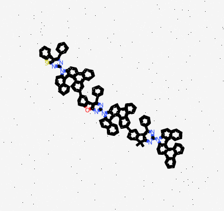 CC1(C)c2ccc(-c3ccc4c(c3)c3ccccc3c3ccc5c(c34)c3c4ccccc4ccc3n5-c3nc(-c4ccccc4)c4c(n3)oc3ccc(-c5ccc6c(c5)c5ccccc5c5ccc7c(c56)c5c6ccccc6ccc5n7-c5nc(-c6ccccc6)c6c(n5)sc5ccccc56)cc34)cc2-c2c(-c3ccccc3)nc(-n3c4ccc5ccccc5c4c4c5c6ccccc6c6ccccc6c5ccc43)nc21